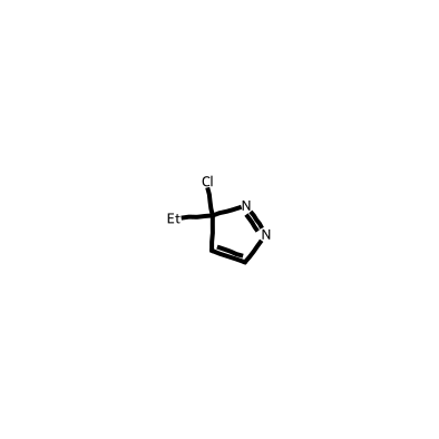 [CH2]CC1(Cl)C=CN=N1